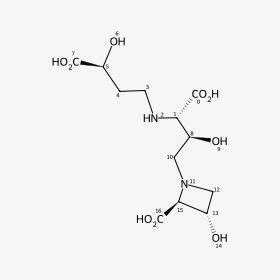 O=C(O)[C@@H](NCC[C@H](O)C(=O)O)[C@@H](O)CN1C[C@H](O)[C@H]1C(=O)O